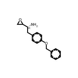 N[C@H](Cc1ccc(OCc2ccccc2)cc1)C1CO1